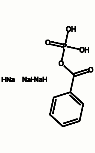 O=C(OP(=O)(O)O)c1ccccc1.[NaH].[NaH].[NaH]